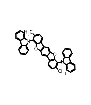 Cc1ccc2c(oc3cc4c(cc32)oc2c(-n3c5ccccc5c5ccccc53)c(C)ccc24)c1-n1c2ccccc2c2ccccc21